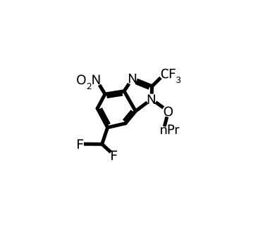 CCCOn1c(C(F)(F)F)nc2c([N+](=O)[O-])cc(C(F)F)cc21